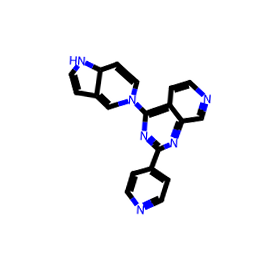 C1=CC2=CN(c3nc(-c4ccncc4)nc4cnccc34)C=CC2N1